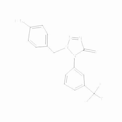 Nc1ccc(Cn2nnc(=O)n2-c2cccc(C(F)(F)F)c2)cc1